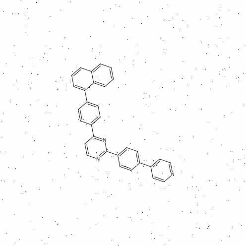 c1ccc2c(-c3ccc(-c4ccnc(-c5ccc(-c6ccncc6)cc5)n4)cc3)cccc2c1